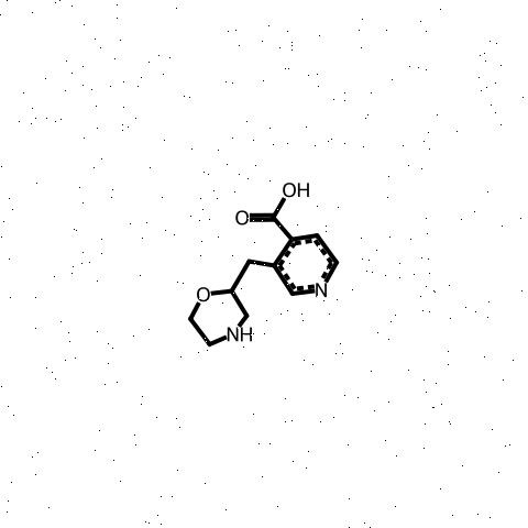 O=C(O)c1ccncc1CC1CNCCO1